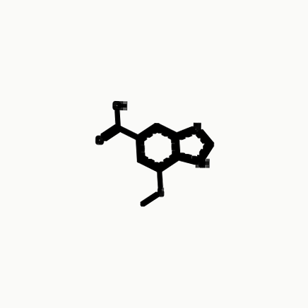 CSc1cc(C(=O)O)cc2nc[nH]c12